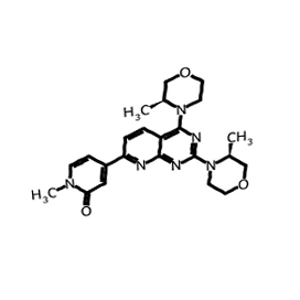 C[C@H]1COCCN1c1nc(N2CCOC[C@@H]2C)c2ccc(-c3ccn(C)c(=O)c3)nc2n1